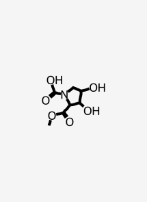 COC(=O)C1C(O)C(O)CN1C(=O)O